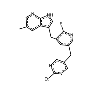 CCc1ncc(Cc2[c]nc(F)c(Cc3c[nH]c4ncc(C)cc34)c2)cn1